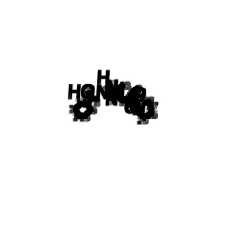 C=C/C(=C\n1nc(NCC(O)C2CCCCC2)nc1C)S(=O)(=O)N1CCCCC1